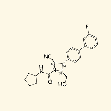 N#C[C@H]1[C@H](c2ccc(-c3cccc(F)c3)cc2)[C@@H](CO)N1C(=O)NC1CCCC1